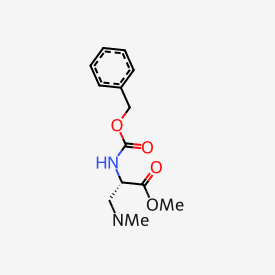 CNC[C@H](NC(=O)OCc1ccccc1)C(=O)OC